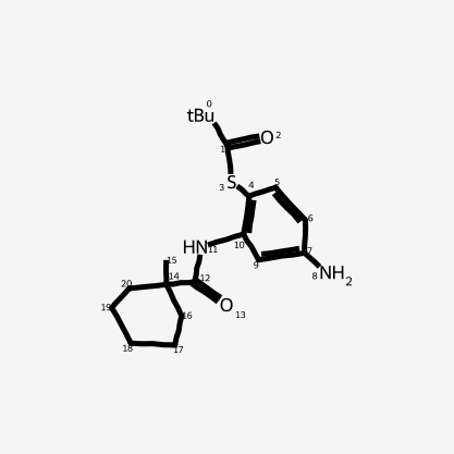 CC(C)(C)C(=O)Sc1ccc(N)cc1NC(=O)C1(C)CCCCC1